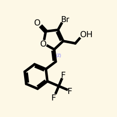 O=C1O/C(=C\c2ccccc2C(F)(F)F)C(CO)=C1Br